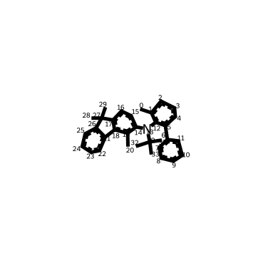 Cc1cccc(-c2ccccc2)c1N(c1ccc2c(c1C)-c1ccccc1C2(C)C)C(C)(C)C